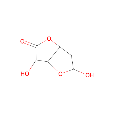 O=C1OC2CC(O)OC2C1O